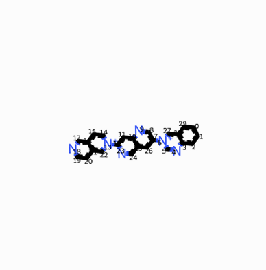 c1ccc2nc[n+](-c3cnc4cc(-[n+]5ccc6cnccc6c5)ncc4c3)cc2c1